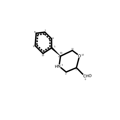 O=CC1CN[C@@H](c2ccccc2)CO1